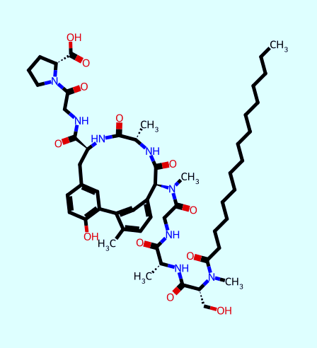 CCCCCCCCCCCCCCCC(=O)N(C)[C@H](CO)C(=O)N[C@H](C)C(=O)NCC(=O)N(C)[C@@H]1C(=O)N[C@@H](C)C(=O)N[C@H](C(=O)NCC(=O)N2CCC[C@@H]2C(=O)O)Cc2ccc(O)c(c2)-c2cc1ccc2C